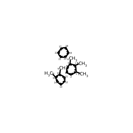 Cc1cccc(C)c1C.Cc1ccccc1C.c1ccccc1